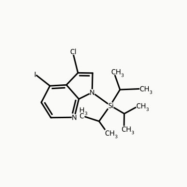 CC(C)[Si](C(C)C)(C(C)C)n1cc(Cl)c2c(I)ccnc21